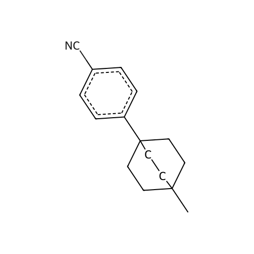 CC12CCC(c3ccc(C#N)cc3)(CC1)CC2